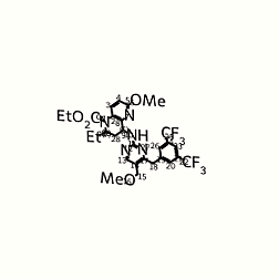 CCOC(=O)N1c2ccc(OC)nc2[C@@H](Nc2ncc(COC)c(Cc3cc(C(F)(F)F)cc(C(F)(F)F)c3)n2)C[C@H]1CC